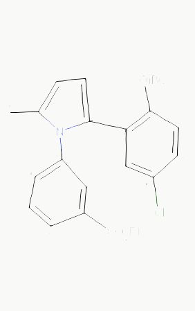 CCOC(=O)c1cccc(-n2c(C)ccc2-c2cc(Cl)ccc2OCC(C)C)c1